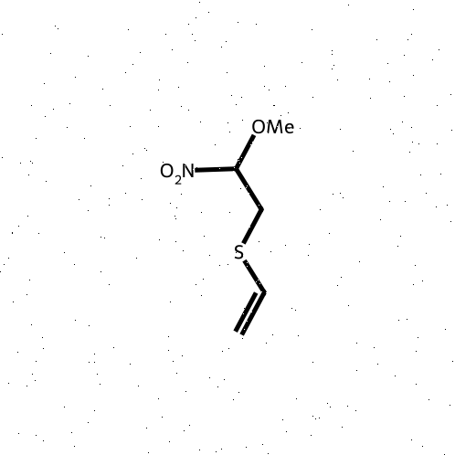 C=CSCC(OC)[N+](=O)[O-]